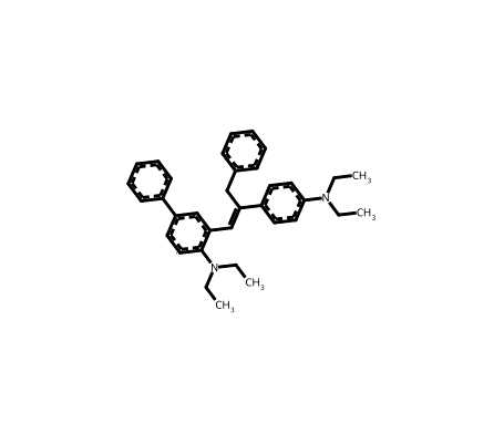 CCN(CC)c1ccc(C(=Cc2cc(-c3ccccc3)c[c]c2N(CC)CC)Cc2ccccc2)cc1